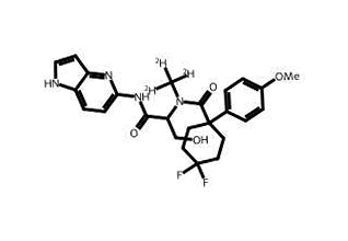 [2H]C([2H])([2H])N(C(=O)C1(c2ccc(OC)cc2)CCC(F)(F)CC1)C(CO)C(=O)Nc1ccc2[nH]ccc2n1